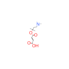 CN(C)CCC(C)(C)OC(=O)C=CC(=O)O